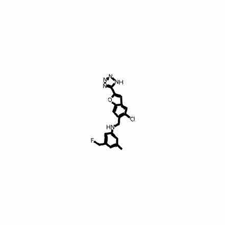 Cc1cc(CF)cc(NCc2cc3oc(-c4nnn[nH]4)cc3cc2Cl)c1